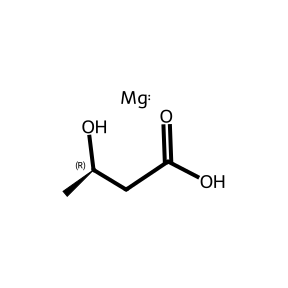 C[C@@H](O)CC(=O)O.[Mg]